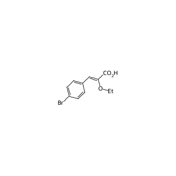 CCOC(=Cc1ccc(Br)cc1)C(=O)O